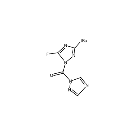 CC(C)(C)c1nc(F)n(C(=O)n2cncn2)n1